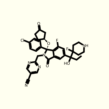 CCC(O)(c1cc(F)c2c(c1)C(=O)N(Cc1ncc(C#N)cn1)[C@@]2(O[C@H]1CCC(=O)C1)c1ccc(Cl)cc1)C1(F)CCNCC1